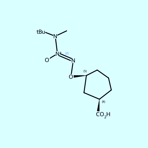 CN(/[N+]([O-])=N/O[C@H]1CCC[C@@H](C(=O)O)C1)C(C)(C)C